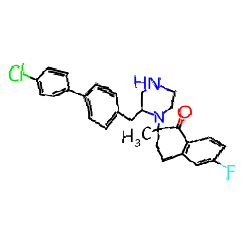 CC1(N2CCNCC2Cc2ccc(-c3ccc(Cl)cc3)cc2)CCc2cc(F)ccc2C1=O